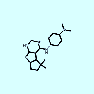 CN(C)[C@H]1CC[C@H](NC2NCNC3SC4CCC(C)(C)C4C23)CC1